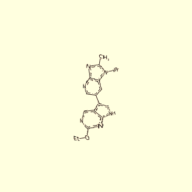 CCOc1ncc2c(-c3cnc4nc(C)n(C(C)C)c4c3)c[nH]c2n1